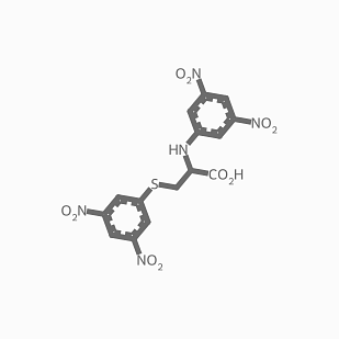 O=C(O)C(CSc1cc([N+](=O)[O-])cc([N+](=O)[O-])c1)Nc1cc([N+](=O)[O-])cc([N+](=O)[O-])c1